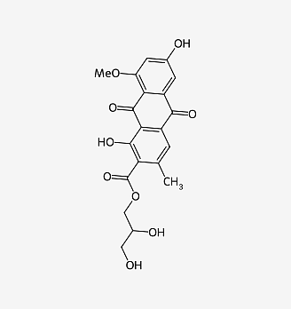 COc1cc(O)cc2c1C(=O)c1c(cc(C)c(C(=O)OCC(O)CO)c1O)C2=O